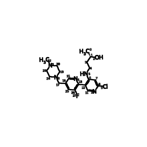 C[C@H](O)CCNc1cc(Cl)ncc1-c1ncc(CN2CCN(C)CC2)cc1F